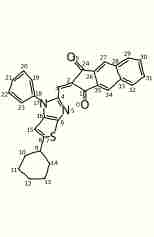 O=C1C(=Cc2nc3sc(C4CCCCC4)cc3n2-c2ccccc2)C(=O)c2cc3ccccc3cc21